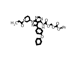 C=CC(=O)N1CCC[C@@H](n2nc(-c3ccc(Oc4ccccc4)cc3)c3c(NC(=O)OCOC(=O)OC(C)C)ncnc32)C1